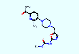 CCNC(=O)Nc1ncc(CN2CCN(c3ccc(C(=O)NC)nc3C(F)(F)F)CC2)o1